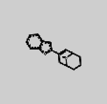 CN1C2C=C(c3cc4ccccc4s3)CC1CCC2